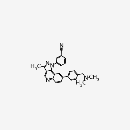 Cc1nn(-c2cccc(C#N)c2)c2c1cnc1ccc(-c3ccc(CN(C)C)cc3)cc12